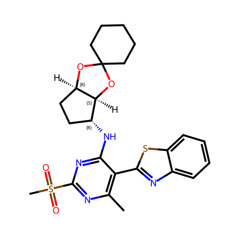 Cc1nc(S(C)(=O)=O)nc(N[C@@H]2CC[C@H]3OC4(CCCCC4)O[C@@H]23)c1-c1nc2ccccc2s1